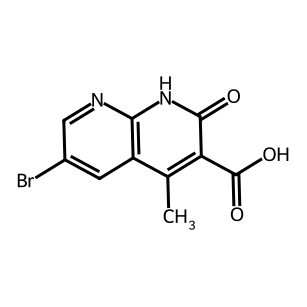 Cc1c(C(=O)O)c(=O)[nH]c2ncc(Br)cc12